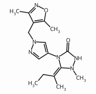 CC/C(C)=C1/N(C)NC(=O)N1c1cnn(Cc2c(C)noc2C)c1